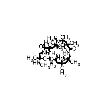 CNC(C)(C)CNC1(C(C)(C)CC(C)(C)N(C)C(C)(C)CC(C)(C)C(=O)NCC(C)(C)CC(C)(C)CC(C)=O)CO1